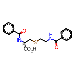 O=C(NCCSC[C@H](NC(=O)c1ccccc1)C(=O)O)c1ccccc1